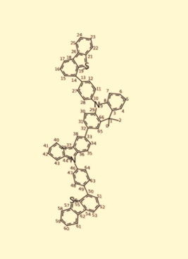 CC1(C)c2ccccc2N(c2ccc(-c3cccc4c3sc3ccccc34)cc2)c2ccc(-c3ccc4c(c3)c3ccccc3n4-c3ccc(-c4cccc5c4sc4ccccc45)cc3)cc21